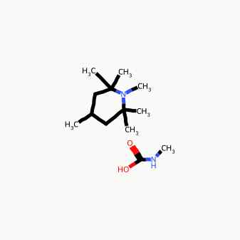 CC1CC(C)(C)N(C)C(C)(C)C1.CNC(=O)O